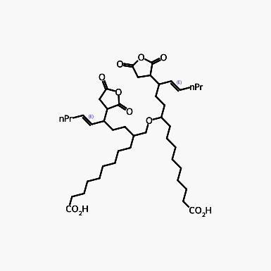 CCC/C=C/C(CCC(CCCCCCCCC(=O)O)COC(CCCCCCCCC(=O)O)CCC(/C=C/CCC)C1CC(=O)OC1=O)C1CC(=O)OC1=O